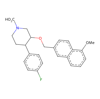 COc1cccc2cc(COC3CN(C(=O)O)CCC3c3ccc(F)cc3)ccc12